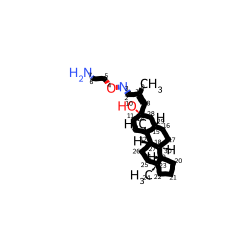 CC(C=NOCCN)=C[C@]1(O)CC[C@@]2(C)[C@H](CC[C@H]3[C@@H]4CCC[C@@]4(C)CC[C@@H]32)C1